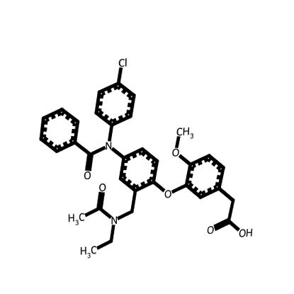 CCN(Cc1cc(N(C(=O)c2ccccc2)c2ccc(Cl)cc2)ccc1Oc1cc(CC(=O)O)ccc1OC)C(C)=O